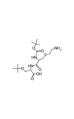 CC(C)(C)OCC(NC(=O)C(CSCCN)NC(=O)OC(C)(C)C)C(=O)O